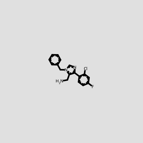 NCc1c(-c2ccc(F)cc2Cl)ncn1Cc1ccccc1